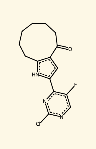 O=C1CCCCCCc2[nH]c(-c3nc(Cl)ncc3F)cc21